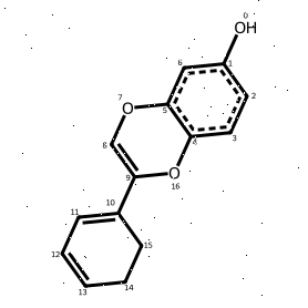 Oc1ccc2c(c1)OC=C(C1=CC=CCC1)O2